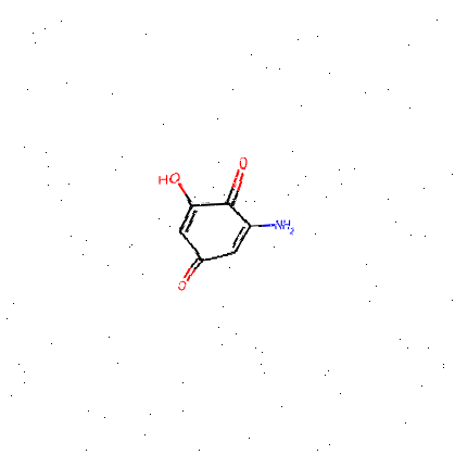 NC1=CC(=O)C=C(O)C1=O